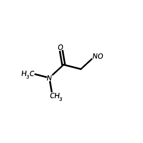 CN(C)C(=O)CN=O